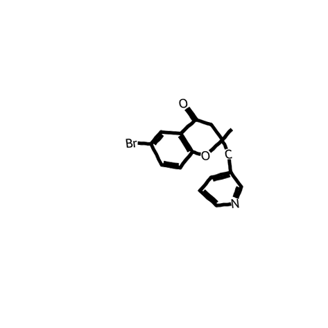 CC1(Cc2cccnc2)CC(=O)c2cc(Br)ccc2O1